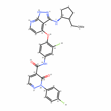 COCC1CCC[C@@H]1Nc1n[nH]c2nccc(Oc3ccc(NC(=O)c4ccnn(-c5ccc(F)cc5)c4=O)cc3F)c12